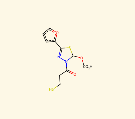 O=C(O)OC1SC(c2ccco2)=NN1C(=O)CCS